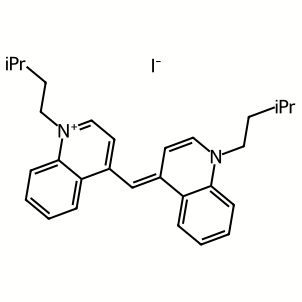 CC(C)CCN1C=CC(=Cc2cc[n+](CCC(C)C)c3ccccc23)c2ccccc21.[I-]